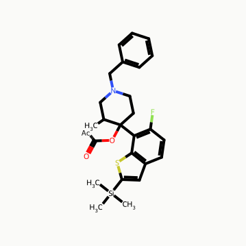 CC(=O)C(=O)OC1(c2c(F)ccc3cc([Si](C)(C)C)sc23)CCN(Cc2ccccc2)CC1C